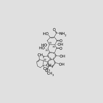 COc1cc(O)c2c(O)c3c(c4c2c1[C@]1(C4)C(C)=CCCC1(C)C)[C@H](O)[C@@]1(O)CC(O)=C(C(N)=O)C(=O)[C@@]1(O)C3=O